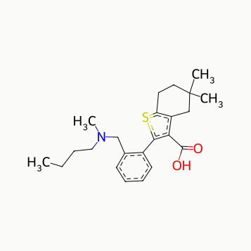 CCCCN(C)Cc1ccccc1-c1sc2c(c1C(=O)O)CC(C)(C)CC2